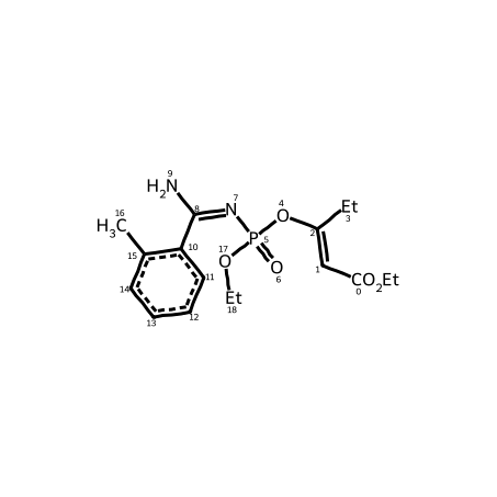 CCOC(=O)/C=C(\CC)OP(=O)(/N=C(/N)c1ccccc1C)OCC